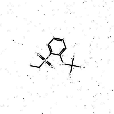 [CH2]CS(=O)(=O)c1ccccc1OC(F)(F)F